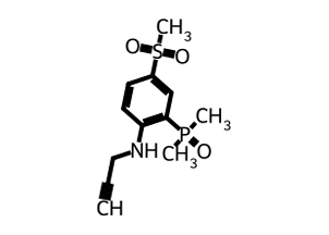 C#CCNc1ccc(S(C)(=O)=O)cc1P(C)(C)=O